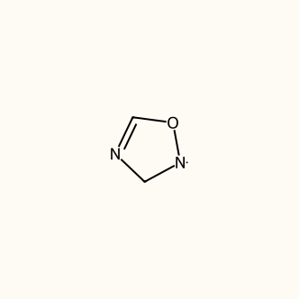 C1=NC[N]O1